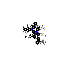 Cc1cc2c3c(c1)N(c1ccc(C(C)(C)C)cc1)c1cc(N(c4cc(C)c(-c5ccccc5)c(C)c4)c4cc(C)c(-c5ccccc5)c(C)c4)ccc1B3c1cc(C(C)(C)C)ccc1N2c1ccc2c(c1)-c1ccccc1C2(C)C